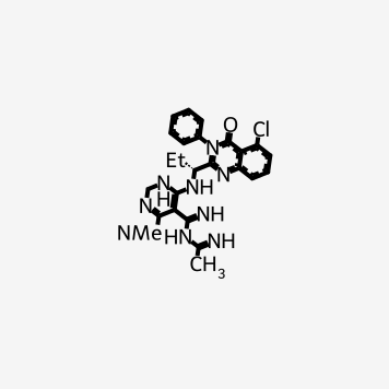 CC[C@@H](NC1=C(C(=N)NC(C)=N)C(NC)=NCN1)c1nc2cccc(Cl)c2c(=O)n1-c1ccccc1